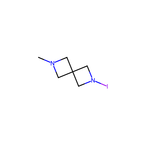 CN1CC2(C1)CN(I)C2